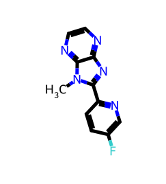 Cn1c(-c2ccc(F)cn2)nc2nccnc21